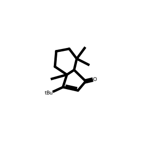 CC(C)(C)C1=CC(=O)C2C(C)(C)CCCC12C